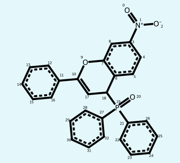 O=[N+]([O-])c1ccc2c(c1)OC(c1ccccc1)=CC2P(=O)(c1ccccc1)c1ccccc1